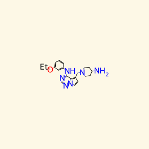 CCOc1cccc(Nc2ncnn3ccc(CN4CCC(N)CC4)c23)c1